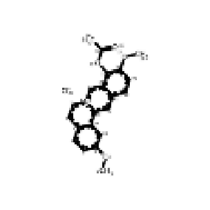 COc1ccc2cc[n+]3cc4c(OC(C)=O)c(OC)ccc4cc3c2c1.[Cl-]